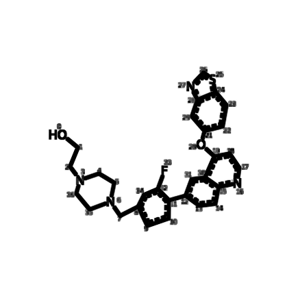 OCCN1CCN(Cc2ccc(-c3ccc4nccc(Oc5ccc6scnc6c5)c4c3)c(F)c2)CC1